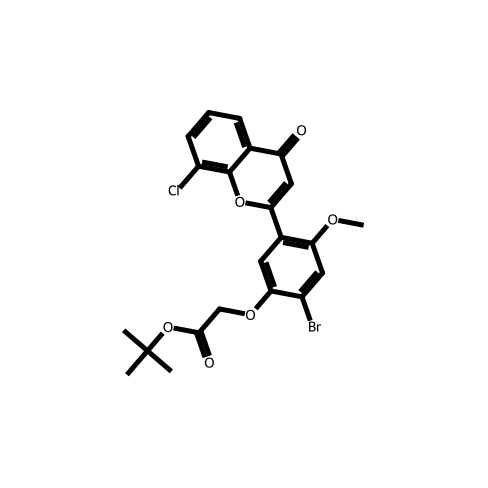 COc1cc(Br)c(OCC(=O)OC(C)(C)C)cc1-c1cc(=O)c2cccc(Cl)c2o1